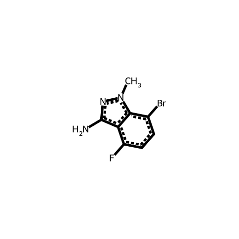 Cn1nc(N)c2c(F)ccc(Br)c21